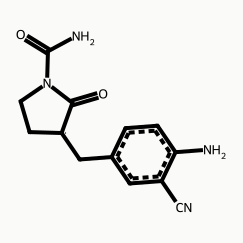 N#Cc1cc(C[C]2CCN(C(N)=O)C2=O)ccc1N